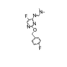 CN(C)C=Nc1nc(OCc2ccc(F)cc2)ncc1F